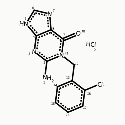 Cl.Nc1nc2[nH]cnc2c(=O)n1Cc1ccccc1Cl